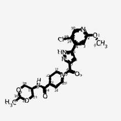 COc1cc(-c2cc(C(=O)N3CCC(C(=O)NC4COC(C)OC4)CC3)n[nH]2)c(Cl)cn1